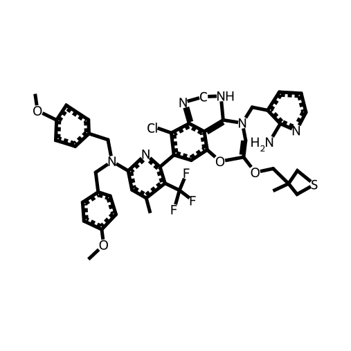 COc1ccc(CN(Cc2ccc(OC)cc2)c2cc(C)c(C(F)(F)F)c(-c3cc4c5c(c3Cl)=NCNC=5N(Cc3cccnc3N)C=C(OCC3(C)CSC3)O4)n2)cc1